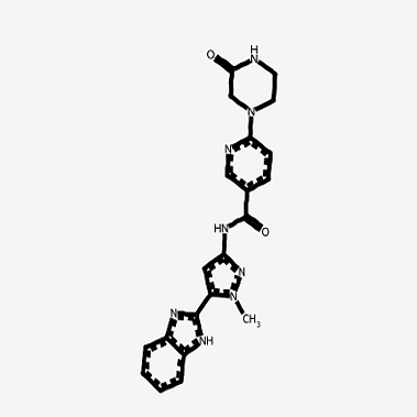 Cn1nc(NC(=O)c2ccc(N3CCNC(=O)C3)nc2)cc1-c1nc2ccccc2[nH]1